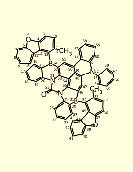 Cc1ccc2oc3ccccc3c2c1B1c2ccccc2N2C(=O)N3c4ccccc4B(c4c(C)ccc5oc6ccccc6c45)c4cc5c6c(cc1c2c6c43)-c1ccccc1N5c1ccccc1